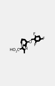 Cc1nc2c(OCc3c(F)cc(F)cc3F)cccn2c1C(=O)O